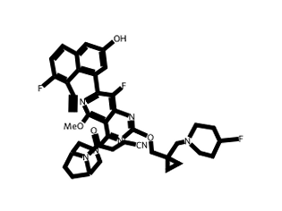 C#Cc1c(F)ccc2cc(O)cc(-c3nc(OC)c4c(N5CC6CCC(C5)N6C(=O)CCC#N)nc(OCC5(CN6CCC(F)CC6)CC5)nc4c3F)c12